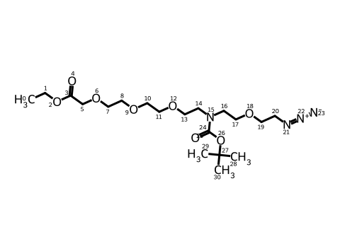 CCOC(=O)COCCOCCOCCN(CCOCCN=[N+]=[N-])C(=O)OC(C)(C)C